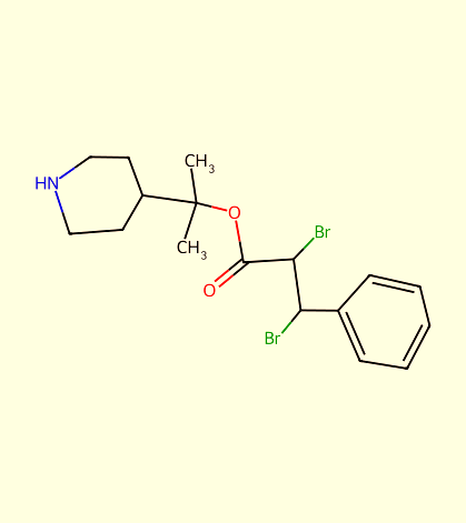 CC(C)(OC(=O)C(Br)C(Br)c1ccccc1)C1CCNCC1